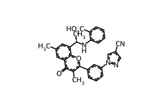 Cc1cc([C@@H](C)Nc2ccccc2C(=O)O)c2oc(-c3cccc(-n4cc(C#N)cn4)c3)c(C)c(=O)c2c1